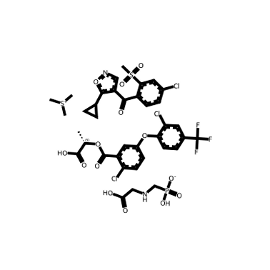 CS(=O)(=O)c1cc(Cl)ccc1C(=O)c1cnoc1C1CC1.C[C@H](OC(=O)c1cc(Oc2ccc(C(F)(F)F)cc2Cl)ccc1Cl)C(=O)O.C[S+](C)C.O=C(O)CNCP(=O)([O-])O